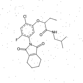 CCC(Oc1cc(N2C(=O)C3=C(CCCC3)C2=O)c(F)cc1Cl)C(=O)NCC(C)C